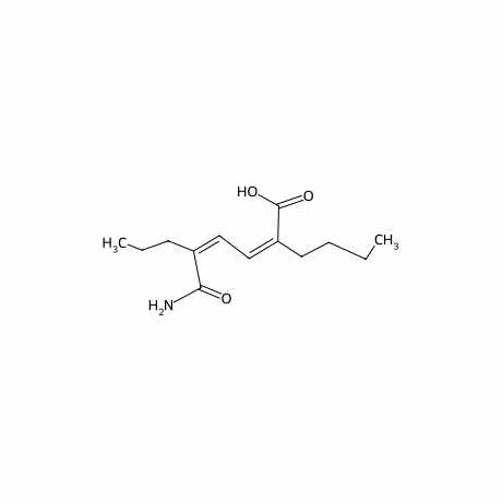 CCCCC(=CC=C(CCC)C(N)=O)C(=O)O